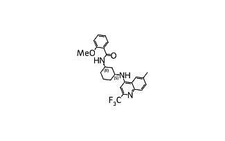 COc1ccccc1C(=O)N[C@@H]1CCC[C@H](Nc2cc(C(F)(F)F)nc3ccc(C)cc23)C1